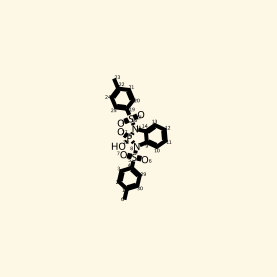 Cc1ccc(S(=O)(=O)N2c3ccccc3N(S(=O)(=O)c3ccc(C)cc3)P2(=O)O)cc1